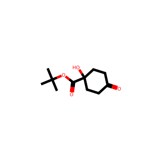 CC(C)(C)OC(=O)C1(O)CCC(=O)CC1